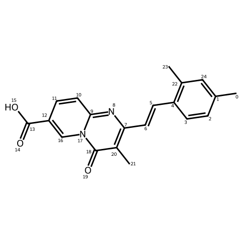 Cc1ccc(/C=C/c2nc3ccc(C(=O)O)cn3c(=O)c2C)c(C)c1